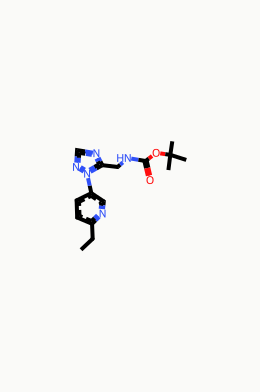 CCc1ccc(-n2ncnc2CNC(=O)OC(C)(C)C)cn1